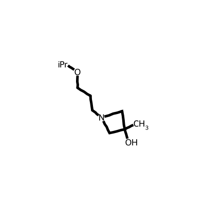 CC(C)OCCCN1CC(C)(O)C1